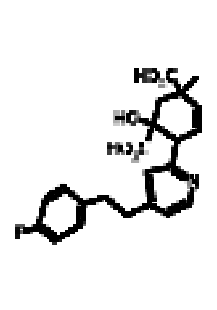 CC1(C(=O)O)C=CC(c2cc(CCc3ccc(F)cc3)ccn2)C(O)(C(=O)O)C1